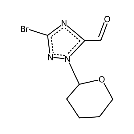 O=Cc1nc(Br)nn1C1CCCCO1